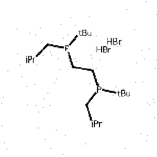 Br.Br.CC(C)CP(CCP(CC(C)C)C(C)(C)C)C(C)(C)C